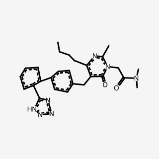 CCCCc1nc(C)n(CC(=O)N(C)C)c(=O)c1Cc1ccc(-c2ccccc2-c2nnn[nH]2)cc1